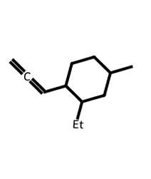 C=C=CC1CCC(C)CC1CC